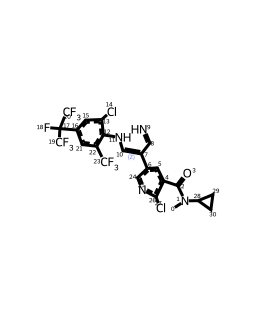 CN(C(=O)c1cc(/C(C=N)=C/Nc2c(Cl)cc(C(F)(C(F)(F)F)C(F)(F)F)cc2C(F)(F)F)cnc1Cl)C1CC1